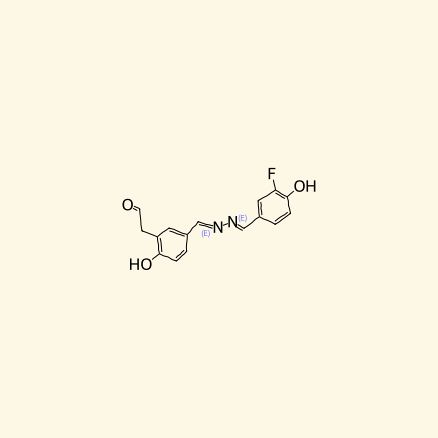 O=CCc1cc(/C=N/N=C/c2ccc(O)c(F)c2)ccc1O